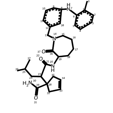 Cc1ccccc1Nc1cccc(CN2CCCCC(NC(=O)C(CC(C)C)C3(C(N)=O)CC=CC3)C2=O)c1